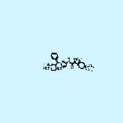 CC1(C)CCc2c(C(=O)Nc3cnn(C(c4ccccc4)C4CS(O)(O)CCN4)c3)n[nH]c2C1